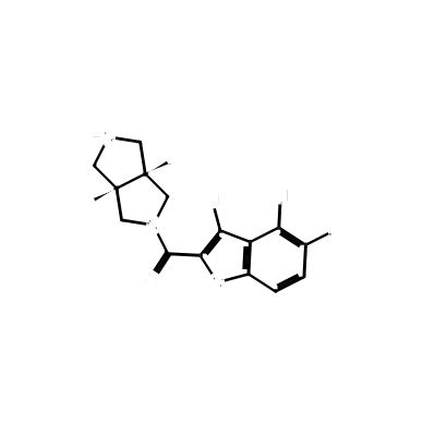 O=C(c1[nH]c2ccc(F)c(Cl)c2c1Cl)N1C[C@]2(F)CNC[C@]2(F)C1